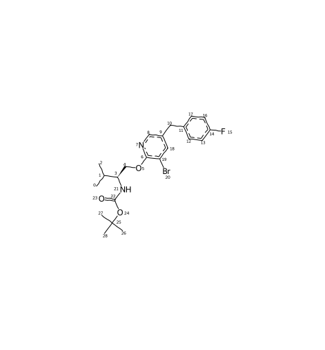 CC(C)[C@@H](COc1ncc(Cc2ccc(F)cc2)cc1Br)NC(=O)OC(C)(C)C